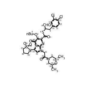 CCCCOc1c(C(=O)SC(C=O)Cc2ccc(Cl)c(Cl)c2)nc2n(CC(=O)N3C[C@H](C)O[C@@H](C)C3)cc(N3CCCS3(=O)=O)n2c1=O